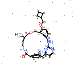 CC1CCNC(=O)c2ccc(c(N)c2)-c2ccnc(n2)Nc2ccc(OCC3CCC3)c(c2)COC1